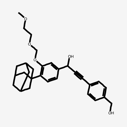 COCCOCOc1cc(C(O)C#Cc2ccc(CO)cc2)ccc1C12CC3CC(CC(C3)C1)C2